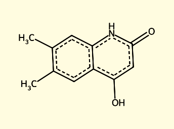 Cc1cc2[nH]c(=O)cc(O)c2cc1C